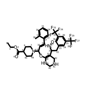 CCOC(=O)C1CCN(C2/C=C(/c3ccccc3C)[NH+]([O-])C(Cc3cc(C(F)(F)F)cc(C(F)(F)F)c3)C3=C(NCNC3)O2)CC1